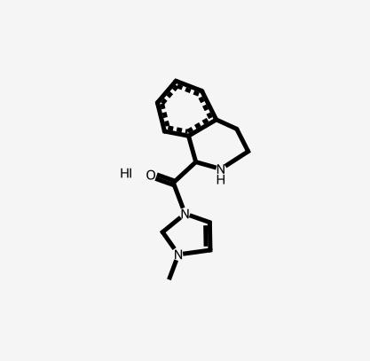 CN1C=CN(C(=O)C2NCCc3ccccc32)C1.I